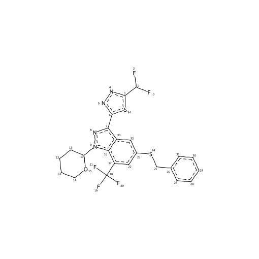 FC(F)c1nnc(-c2nn(C3CCCCO3)c3c(C(F)(F)F)cc(SCc4ccccc4)cc23)s1